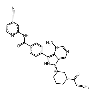 C=CC(=O)N1CCC[C@@H](N2NC(c3ccc(C(=O)Nc4cc(C#N)ccn4)cc3)=C3C2=CN=CN3N)C1